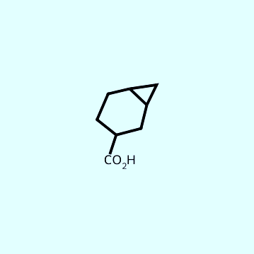 O=C(O)C1CCC2CC2C1